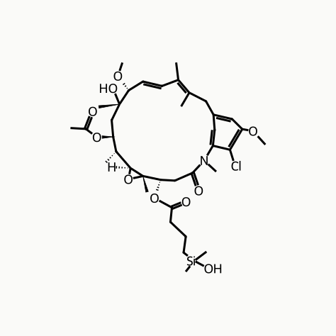 COc1cc2cc(c1Cl)N(C)C(=O)C[C@H](OC(=O)CCC[Si](C)(C)O)[C@]1(C)O[C@H]1[C@H](C)[C@@H](OC(C)=O)C[C@](C)(O)[C@H](OC)/C=C/C(C)=C(\C)C2